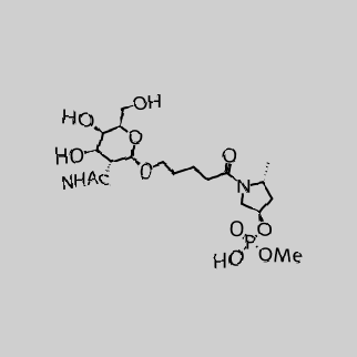 COP(=O)(O)O[C@@H]1C[C@@H](C)N(C(=O)CCCCO[C@@H]2O[C@H](CO)[C@H](O)[C@H](O)[C@H]2NC(C)=O)C1